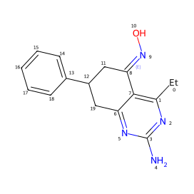 CCc1nc(N)nc2c1/C(=N/O)CC(c1ccccc1)C2